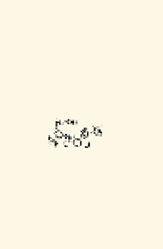 Cc1c(-c2cn(-c3cc(C(=O)Nc4cc(CN(C)CCO)cc(C(F)(F)F)c4)ccc3Cl)nn2)cnn1C